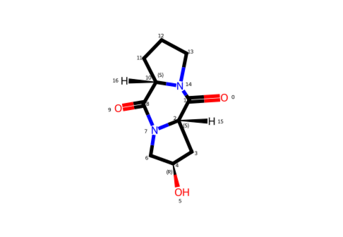 O=C1[C@@H]2C[C@@H](O)CN2C(=O)[C@@H]2CCCN12